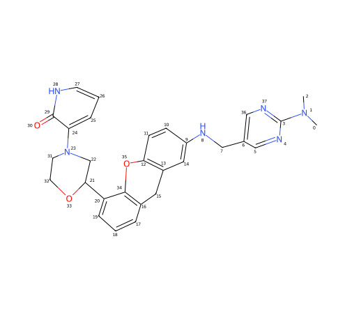 CN(C)c1ncc(CNc2ccc3c(c2)Cc2cccc(C4CN(c5ccc[nH]c5=O)CCO4)c2O3)cn1